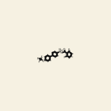 O=C(NNc1ccc(-c2ccc(OC(F)(F)F)cc2)cc1)c1c(F)cccc1F